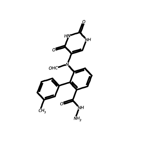 Cc1cccc(-c2c(C(=O)NN)cccc2N(C=O)c2c[nH]c(=O)[nH]c2=O)c1